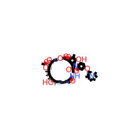 CO[C@H]1/C=C/O[C@@]2(C)Oc3c(C)c(O)c4c(=O)c(c5oc6cc(OCC[N+](C(C)C)(C(C)C)C(C)(C)C)ccc6nc-5c4c3C2=O)NC(=O)/C(C)=C\C=C\[C@H](C)[C@H](O)[C@@H](C)[C@@H](C)[C@@H](C)[C@H](OC(C)=O)[C@@H]1C